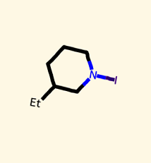 CCC1CCCN(I)C1